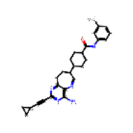 COc1cccc(NC(=O)C2CCC(C3C=Nc4c(N)nc(C#CC5CC5)nc4CC3)CC2)c1